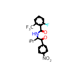 CC(C)C(NC(=O)c1c(F)cccc1C(F)(F)F)C(=O)c1ccc([N+](=O)[O-])cc1